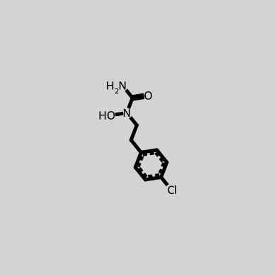 NC(=O)N(O)CCc1ccc(Cl)cc1